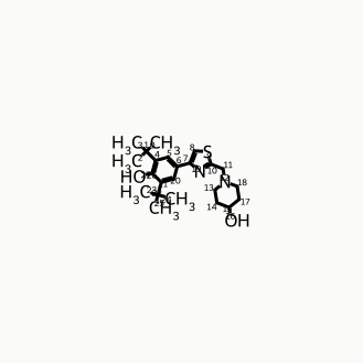 CC(C)(C)c1cc(-c2csc(CN3CCC(O)CC3)n2)cc(C(C)(C)C)c1O